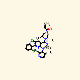 C=CC(=O)N1CC(C)N(/C(=N/C)c2cc(Cl)c(-c3c(N)cccc3F)nc2N(C=O)c2c(C)ccnc2C(C)C)[C@@H](C)C1